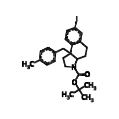 Cc1ccc(CC23CCN(C(=O)OC(C)(C)C)C2CCc2cc(I)ccc23)cc1